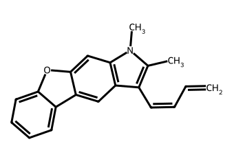 C=C/C=C\c1c(C)n(C)c2cc3oc4ccccc4c3cc12